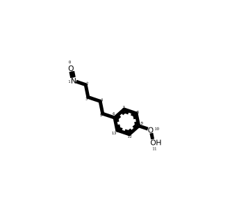 O=NCCCCc1ccc(OO)cc1